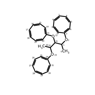 CC(OC1=C/C=C\C=C/C=C\1)C(OC1=C/C=C\C=C/C=C\1)C(C)OC1=C/C=C\C=C/C=C\1